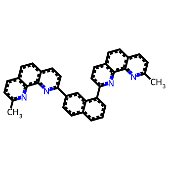 Cc1ccc2ccc3ccc(-c4ccc5cccc(-c6ccc7ccc8ccc(C)nc8c7n6)c5c4)nc3c2n1